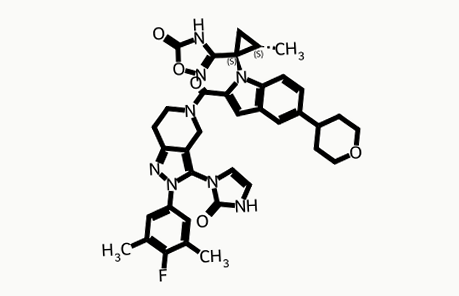 Cc1cc(-n2nc3c(c2-n2cc[nH]c2=O)CN(C(=O)c2cc4cc(C5CCOCC5)ccc4n2[C@@]2(c4noc(=O)[nH]4)C[C@@H]2C)CC3)cc(C)c1F